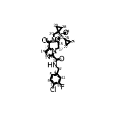 O=C(NCc1ccc(Cl)c(F)c1)c1ncc2n1CCN(CC1(S(=O)(=O)C3CC3)CC1)C2=O